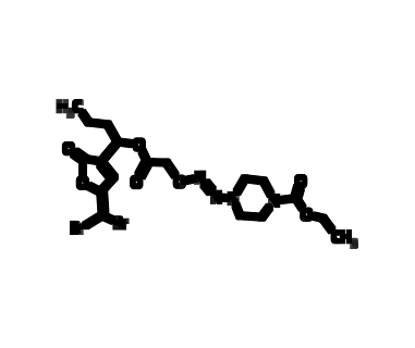 CCCC(OC(=O)CO/N=N/N1CCN(C(=O)OCC)CC1)C1=CC(=C(Br)Br)OC1=O